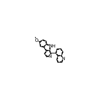 COc1ccc2[nH]c3c(-c4cccc5ncccc45)nccc3c2c1